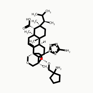 CC(C)[C@@H](C)[C@@]1(C)CC[C@]2(C)[C@H]3CC[C@@H]4[C@@]5(COC[C@]4(C)[C@@H](OCC4(N)CCCC4)[C@H](n4nnc(N)n4)C5)C3=CC[C@@]2(C)[C@@H]1C(=O)O